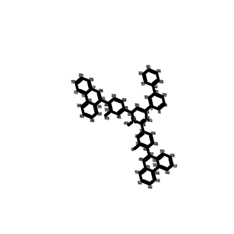 Cc1cc(C2=NC(c3cccc(-c4ccccc4)c3)=CC(c3ccc(-c4cc5ccccc5c5ccccc45)c(C)c3)N2C)ccc1-c1cc2ccccc2c2ccccc12